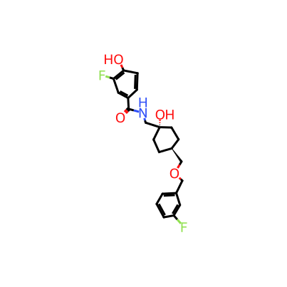 O=C(NC[C@]1(O)CC[C@H](COCc2cccc(F)c2)CC1)c1ccc(O)c(F)c1